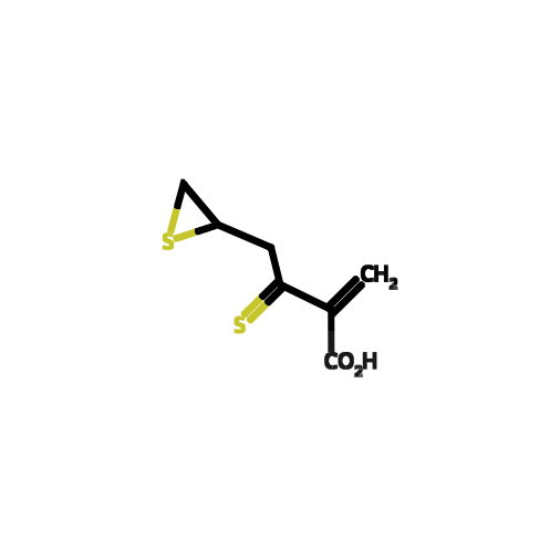 C=C(C(=O)O)C(=S)CC1CS1